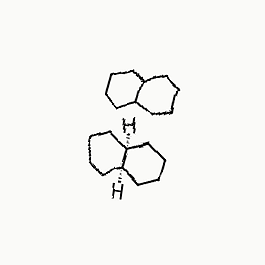 C1CCC2CCCCC2C1.C1CC[C@H]2CCCC[C@H]2C1